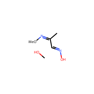 CO.CON=C(C)C=NO